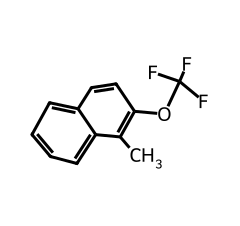 Cc1c(OC(F)(F)F)ccc2ccccc12